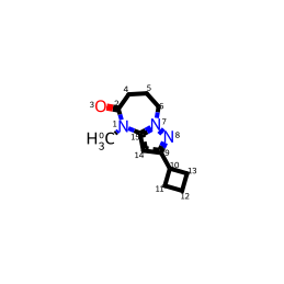 CN1C(=O)CCCn2nc(C3CCC3)cc21